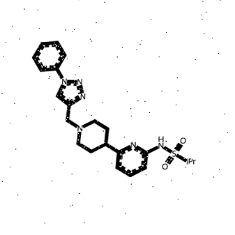 CC(C)S(=O)(=O)Nc1cccc(C2CCN(Cc3cn(-c4ccccc4)nn3)CC2)n1